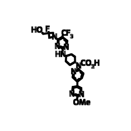 COc1ncc(-c2ccc(N(C(=O)O)[C@H]3CC[C@H](Nc4ncc(C(F)(F)F)c(N5CC(F)(CO)C5)n4)CC3)nc2)cn1